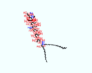 CCCCCCCCCCCCC/C=C/[C@@H](O)[C@H](CO[C@@H]1OC(CO)[C@@H](O[C@@H]2OC(CO)[C@H](O)[C@H](O[C@H]3OC(CO)[C@H](O)[C@H](O[C@@H]4OC(CO)[C@H](O)[C@H](O[C@@H]5OC(CO)[C@H](O)[C@H](O[C@]6(C(=O)O)CC(O)[C@@H](NC(C)=O)C([C@H](O)[C@H](O)CO)O6)C5O)C4NC(C)=O)C3O)C2O)[C@H](O)C1O)NC(=O)CCCCCCCCCCCCCCCCCCCCC